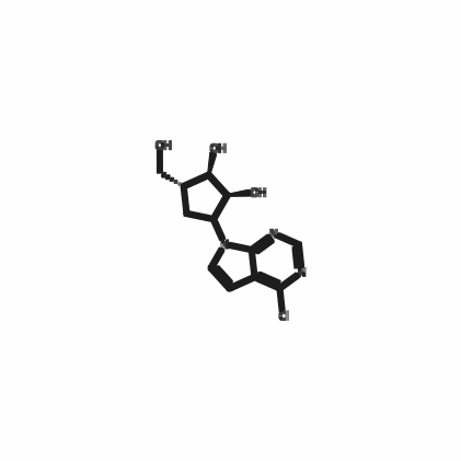 OC[C@H]1CC(n2ccc3c(Cl)ncnc32)[C@H](O)[C@@H]1O